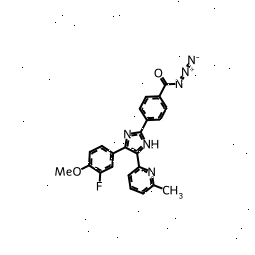 COc1ccc(-c2nc(-c3ccc(C(=O)N=[N+]=[N-])cc3)[nH]c2-c2cccc(C)n2)cc1F